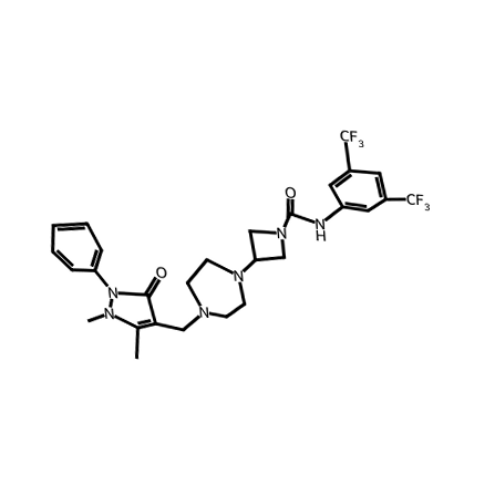 Cc1c(CN2CCN(C3CN(C(=O)Nc4cc(C(F)(F)F)cc(C(F)(F)F)c4)C3)CC2)c(=O)n(-c2ccccc2)n1C